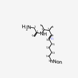 C=C(CN)NC(C)C(C)/C=C/CCCCCCCCCCCCC